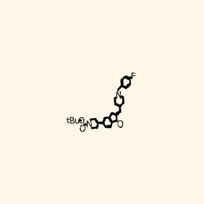 CC(C)(C)OC(=O)N1CC=C(c2ccc3c(c2)C/C(=C\C2CCN(Cc4ccc(F)cc4)CC2)C3=O)CC1